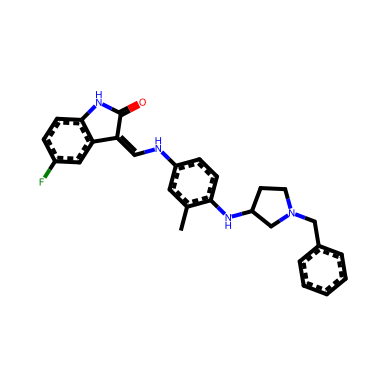 Cc1cc(NC=C2C(=O)Nc3ccc(F)cc32)ccc1NC1CCN(Cc2ccccc2)C1